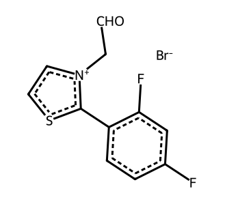 O=CC[n+]1ccsc1-c1ccc(F)cc1F.[Br-]